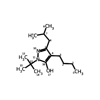 CCCCc1c(CC(C)C)nn(C(C)(C)C)c1O